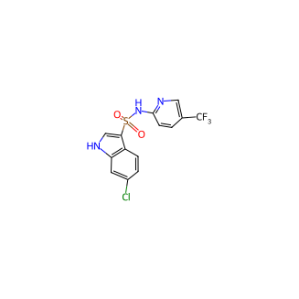 O=S(=O)(Nc1ccc(C(F)(F)F)cn1)c1c[nH]c2cc(Cl)ccc12